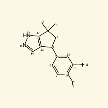 CC1(C)CC(c2ccc(F)c(F)c2)c2cn[nH]c21